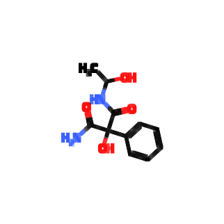 CC(O)NC(=O)C(O)(C(N)=O)c1ccccc1